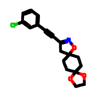 Clc1cccc(C#CC2=NOC3(CCC4(CC3)OCCO4)C2)c1